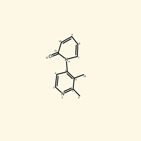 Cc1nccc(-n2ccccc2=O)c1C